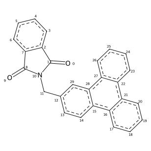 O=C1c2ccccc2C(=O)N1Cc1ccc2c3ccccc3c3ccccc3c2c1